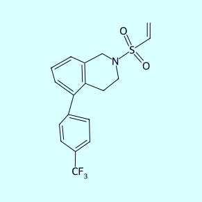 C=CS(=O)(=O)N1CCc2c(cccc2-c2ccc(C(F)(F)F)cc2)C1